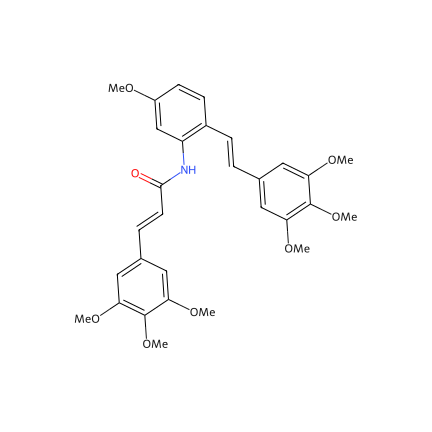 COc1ccc(C=Cc2cc(OC)c(OC)c(OC)c2)c(NC(=O)/C=C/c2cc(OC)c(OC)c(OC)c2)c1